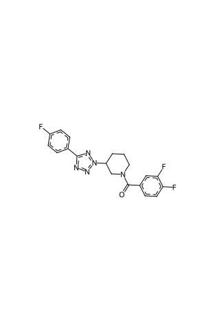 O=C(c1ccc(F)c(F)c1)N1CCCC(n2nnc(-c3ccc(F)cc3)n2)C1